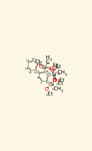 CCO[Si](C)(OCC)c1ccc(-c2ccccc2)c([Si](C)(OCC)OCC)c1[Si](C)(OCC)OCC